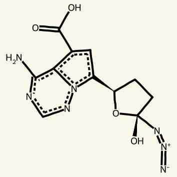 [N-]=[N+]=N[C@@]1(O)CC[C@H](c2cc(C(=O)O)c3c(N)ncnn23)O1